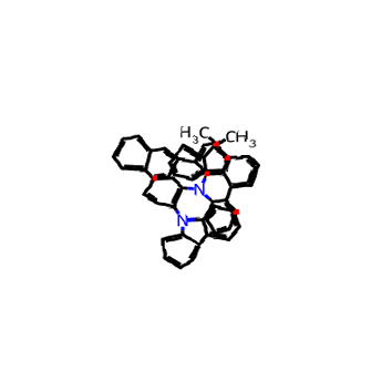 CC1(C)C2=C(C(c3ccccc3N(C3=C(n4c5ccccc5c5ccccc54)C=CCC3)c3ccccc3-c3ccc4ccccc4c3)=C=C=C2)c2ccccc21